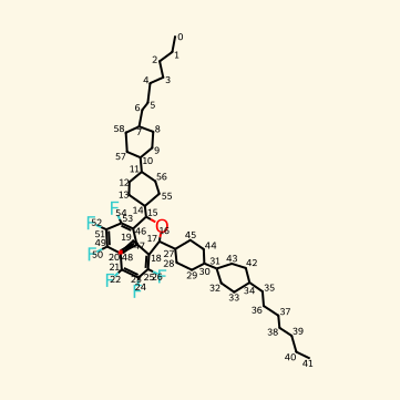 CCCCCCCC1CCC(C2CCC(C(OC(c3ccc(F)c(F)c3F)C3CCC(C4CCC(CCCCCCC)CC4)CC3)c3ccc(F)c(F)c3F)CC2)CC1